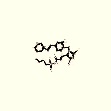 CCCCS(=O)(=O)NC(=O)C=Cc1c(Cl)nc(C)n1Cc1ccc(C=Cc2ccccc2)cc1Cl